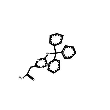 NC(=O)Cc1nsc(NC(c2ccccc2)(c2ccccc2)c2ccccc2)n1